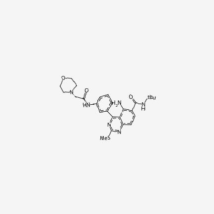 CSc1nc(-c2cccc(NC(=O)CN3CCOCC3)c2)c2c(N)c(C(=O)NC(C)(C)C)ccc2n1